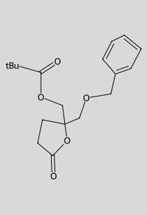 CC(C)(C)C(=O)OCC1(COCc2ccccc2)CCC(=O)O1